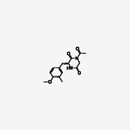 COc1ccc(C=C2NC(=O)CN(C(C)=O)C2=O)cc1C